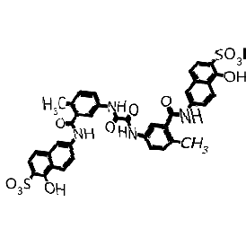 Cc1ccc(NC(=O)C(=O)Nc2ccc(C)c(C(=O)Nc3ccc4c(O)c(S(=O)(=O)O)ccc4c3)c2)cc1C(=O)Nc1ccc2c(O)c(S(=O)(=O)O)ccc2c1